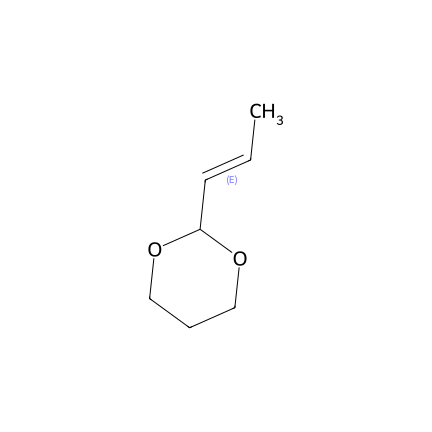 C/C=C/C1OCCCO1